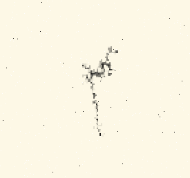 CC(=O)SCC(=O)NCCOCCOCC(=O)NCCOCCOCC(=O)N[C@H](C(=O)N[C@@H](CCCCN)C(=O)N1CCC[C@H]1C(=O)C1CCC[C@H]1C(=O)N[C@@H](CCCNC(=N)N)C(=O)O)[C@@H](C)O